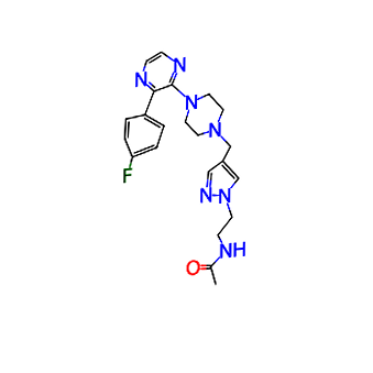 CC(=O)NCCn1cc(CN2CCN(c3nccnc3-c3ccc(F)cc3)CC2)cn1